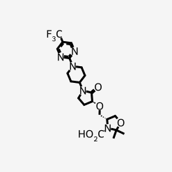 CC1(C)OC[C@@H](CO[C@@H]2CCN(C3CCN(c4ncc(C(F)(F)F)cn4)CC3)C2=O)N1C(=O)O